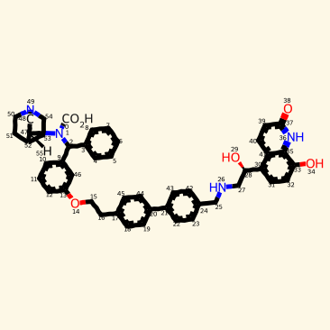 O=C(O)N(C(c1ccccc1)c1cccc(OCCc2ccc(-c3ccc(CNC[C@@H](O)c4ccc(O)c5[nH]c(=O)ccc45)cc3)cc2)c1)[C@H]1CN2CCC1CC2